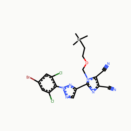 C[Si](C)(C)CCOCn1c(-c2cnn(-c3c(Cl)cc(Br)cc3Cl)n2)nc(C#N)c1C#N